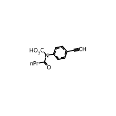 C#Cc1ccc(N(C(=O)O)C(=O)CCC)cc1